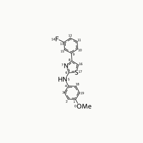 COc1ccc(Nc2nc(-c3cccc(F)c3)cs2)cc1